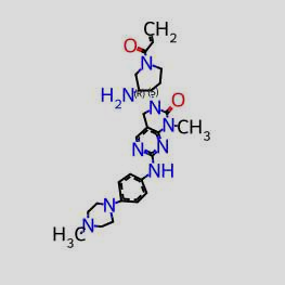 C=CC(=O)N1CC[C@H](N2Cc3cnc(Nc4ccc(N5CCN(C)CC5)cc4)nc3N(C)C2=O)[C@H](N)C1